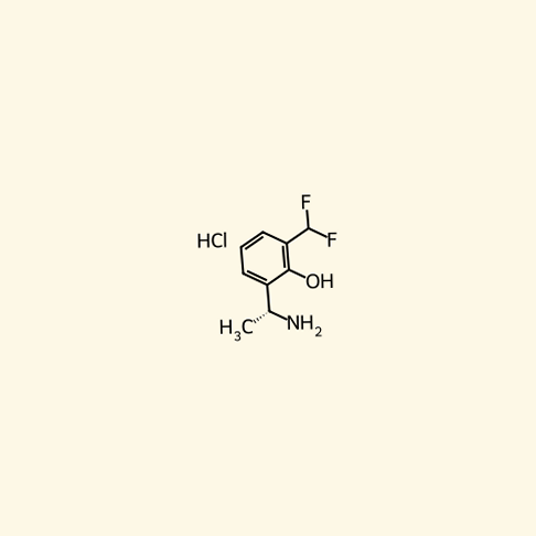 C[C@@H](N)c1cccc(C(F)F)c1O.Cl